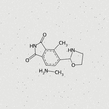 CN.Cc1c(C2NCCO2)ccc2c1C(=O)NC2=O